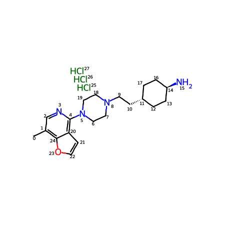 Cc1cnc(N2CCN(CC[C@H]3CC[C@H](N)CC3)CC2)c2ccoc12.Cl.Cl.Cl